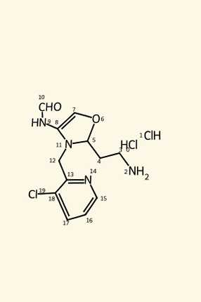 Cl.Cl.NCCC1OC=C(NC=O)N1Cc1ncccc1Cl